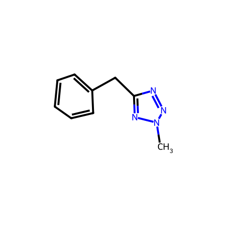 Cn1nnc(Cc2ccccc2)n1